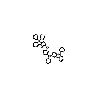 C1=CC(C2(c3ccccc3)c3ccccc3-c3c2ccc2c3Oc3ccc(N(c4ccccc4)c4ccc5c(c4)c4ccccc4n5-c4ccccc4)cc3O2)=CCC1